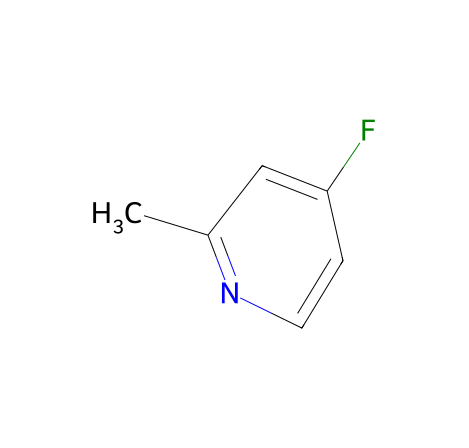 Cc1cc(F)ccn1